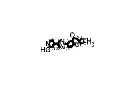 CCC1(CC)CC(=O)c2cc(-c3ncc(-c4ccnc(O)c4)cn3)ccc2O1